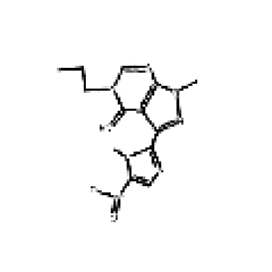 CCCn1cnc2c(c(-c3ncc([N+](=O)[O-])n3C)nn2C)c1=N